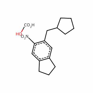 O=C(O)O.O=[N+]([O-])c1cc2c(cc1CC1CCCC1)CCC2